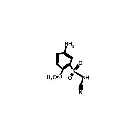 COc1ccc(N)cc1S(=O)(=O)NC#N